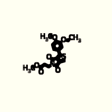 CCOc1cc(-c2scc3c2C(=O)N(CCC(=O)OC)C3=O)ccc1OC